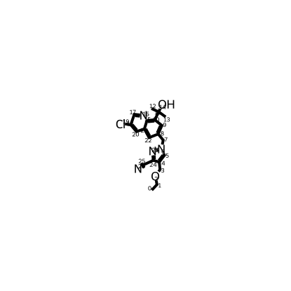 CCOCc1cn(Cc2cc(C(C)(C)O)c3ncc(Cl)cc3c2)nc1C#N